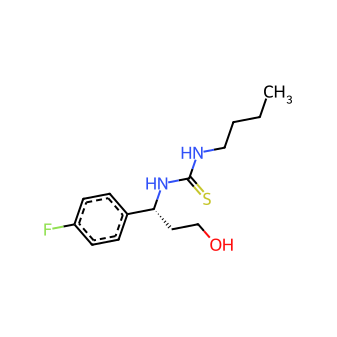 CCCCNC(=S)N[C@H](CCO)c1ccc(F)cc1